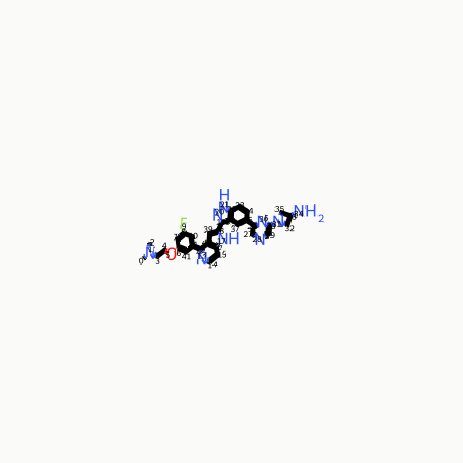 CN(C)CCOc1cc(F)cc(-c2nccc3[nH]c(-c4n[nH]c5ccc(-c6cncc(N7CC(N)C7)n6)cc45)cc23)c1